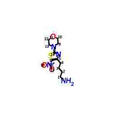 NCCCCc1nc(N2CCOCC2)sc1[N+](=O)[O-]